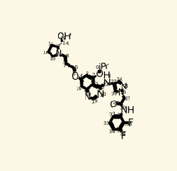 CC(C)Oc1cc(OCCCN2CCC[C@@H]2CO)cc2ncnc(Nc3cnn(CC(=O)Nc4cccc(F)c4F)c3)c12